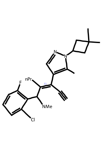 C#C/C(=C(/CCC)C(NC)c1c(F)cccc1Cl)c1cnn(C2CC(C)(C)C2)c1C